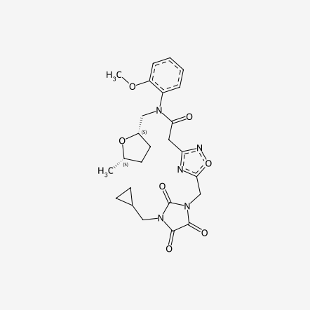 COc1ccccc1N(C[C@@H]1CC[C@H](C)O1)C(=O)Cc1noc(CN2C(=O)C(=O)N(CC3CC3)C2=O)n1